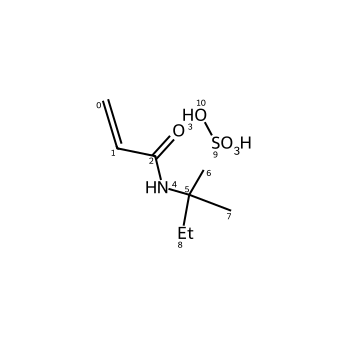 C=CC(=O)NC(C)(C)CC.O=S(=O)(O)O